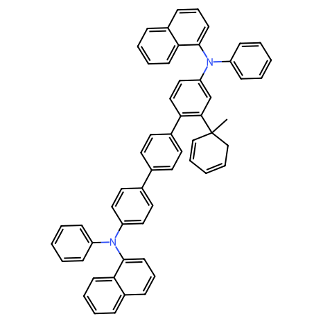 CC1(c2cc(N(c3ccccc3)c3cccc4ccccc34)ccc2-c2ccc(-c3ccc(N(c4ccccc4)c4cccc5ccccc45)cc3)cc2)C=CC=CC1